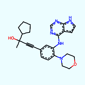 CC(O)(C#Cc1ccc(N2CCOCC2)c(Nc2ncnc3[nH]ccc23)c1)C1CCCC1